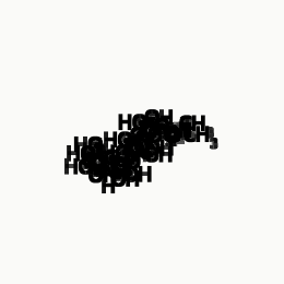 CC1OC(OC2C(CO)OC(OC3C(CO)OC(Oc4cccc(N(C)C)c4)C(O)C3O)C(O)C2O)C(O)C(O)C1NC1C=C(CO)C(O)C(O)C1O